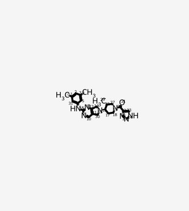 Cc1cc(C)cc(Nc2ncc3c(n2)CN([C@@H]2CCN(C(=O)c4c[nH]nn4)C[C@@H]2C)C3)c1